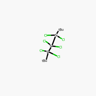 CC(C)(C)[Si](Cl)(Cl)[Si](Cl)(Cl)[Si](Cl)(Cl)C(C)(C)C